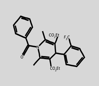 CCOC(=O)C1=C(C)N(C(=O)c2ccccc2)C(C)=C(C(=O)OCC)C1c1ccccc1C(F)(F)F